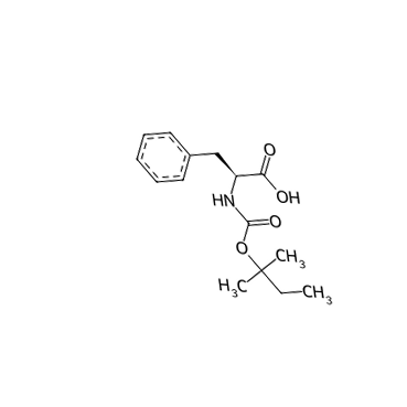 CCC(C)(C)OC(=O)N[C@@H](Cc1ccccc1)C(=O)O